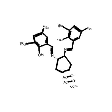 CC(=O)[O-].CC(=O)[O-].CC(C)(C)c1cc(C=N[C@H]2CCCC[C@@H]2N=Cc2cc(C(C)(C)C)cc(C(C)(C)C)c2O)c(O)c(C(C)(C)C)c1.[Co+2]